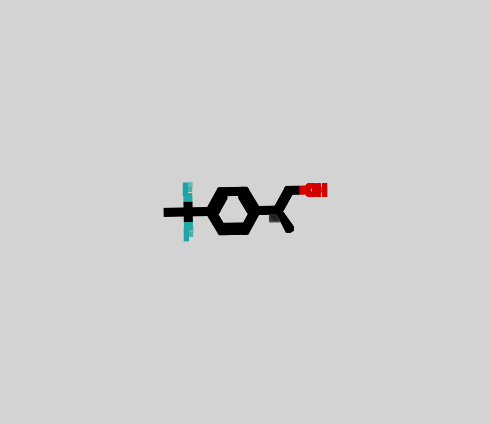 C[C@H](CO)c1ccc(C(C)(F)F)cc1